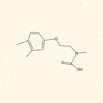 Cc1ccc(OCCN(C)C(=O)O)cc1C